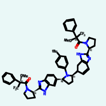 CO[C@@](C(=O)N1CCC[C@H]1c1nc2c([nH]1)CC([C@H]1CC[C@H](c3ccc4nc([C@@H]5CCCN5C(=O)[C@](OC)(c5ccccc5)C(F)(F)F)[nH]c4c3)N1c1ccc(C(C)(C)C)cc1)C=C2)(c1ccccc1)C(F)(F)F